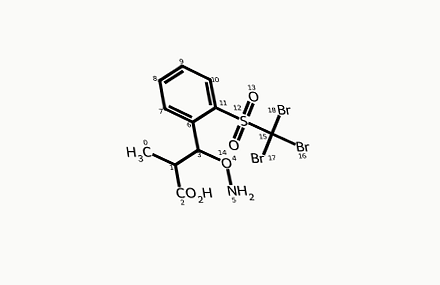 CC(C(=O)O)C(ON)c1ccccc1S(=O)(=O)C(Br)(Br)Br